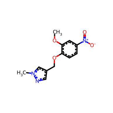 COc1cc([N+](=O)[O-])ccc1OCc1cnn(C)c1